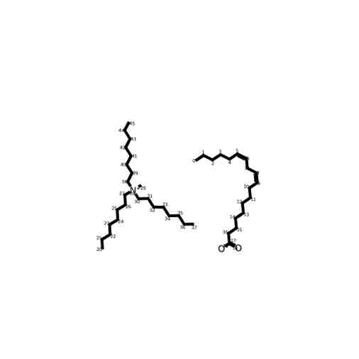 CCCCC/C=C\C/C=C\CCCCCCCC(=O)[O-].CCCCCCCC[N+](C)(CCCCCCCC)CCCCCCCC